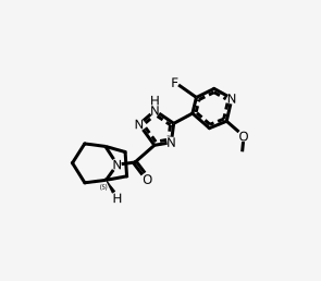 COc1cc(-c2nc(C(=O)N3C4CCC[C@H]3CC4)n[nH]2)c(F)cn1